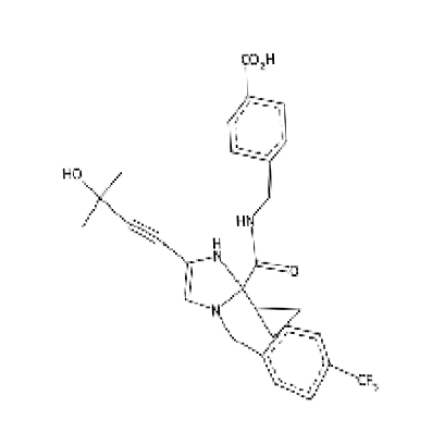 CC(C)(O)C#CC1=CN(Cc2ccc(C(F)(F)F)cc2)C(C(=O)NCc2ccc(C(=O)O)cc2)(C2CC2)N1